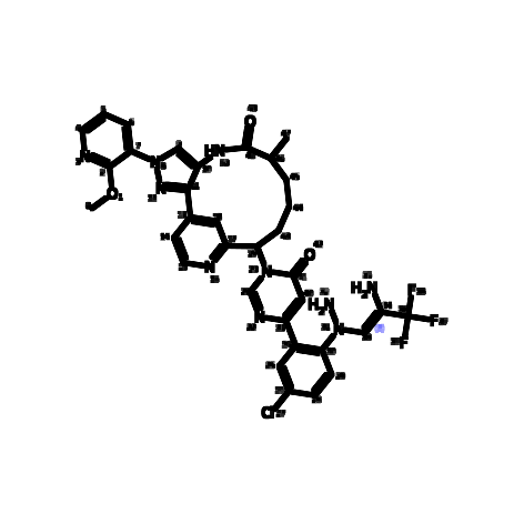 COc1ncccc1-n1cc2c(n1)-c1ccnc(c1)C(n1cnc(-c3cc(Cl)ccc3N(N)/C=C(\N)C(F)(F)F)cc1=O)CCCC(C)C(=O)N2